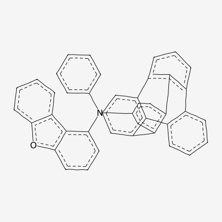 c1ccc(N(c2ccc3c(c2)-c2cccc4c2-c2ccccc2-c2cccc-4c2-3)c2cccc3oc4ccccc4c23)cc1